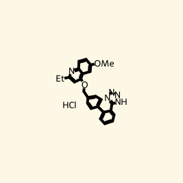 CCc1cc(OCc2ccc(-c3ccccc3-c3nnn[nH]3)cc2)c2cc(OC)ccc2n1.Cl